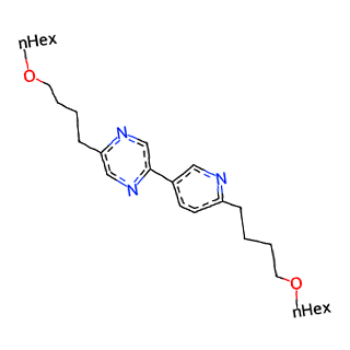 CCCCCCOCCCCc1ccc(-c2cnc(CCCCOCCCCCC)cn2)cn1